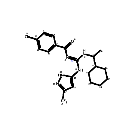 CC(N/C(=N\C(=O)c1ccc(Cl)cc1)Nc1cc(C(F)(F)F)n[nH]1)C1CCCCC1